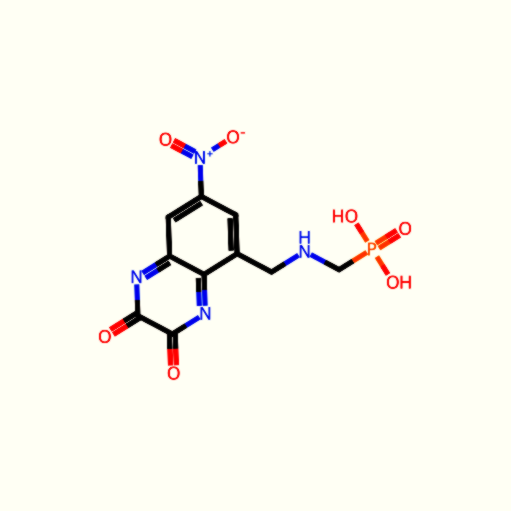 O=C1N=c2cc([N+](=O)[O-])cc(CNCP(=O)(O)O)c2=NC1=O